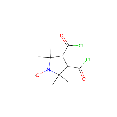 CC1(C)C(C(=O)Cl)C(C(=O)Cl)C(C)(C)N1[O]